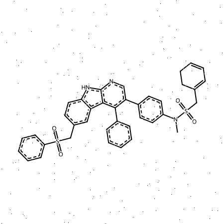 CN(c1ccc(-c2cnc3[nH]c4ccc(CS(=O)(=O)c5ccccc5)cc4c3c2-c2ccccc2)cc1)S(=O)(=O)CC1=CC=CCC1